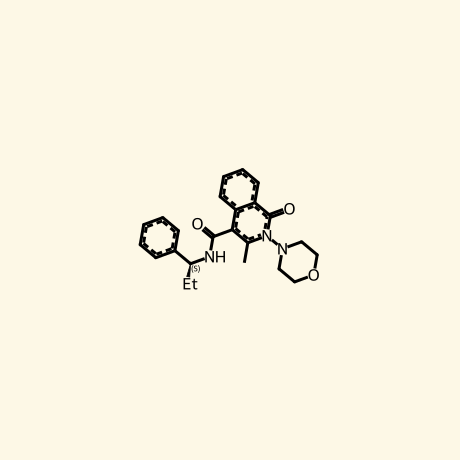 CC[C@H](NC(=O)c1c(C)n(N2CCOCC2)c(=O)c2ccccc12)c1ccccc1